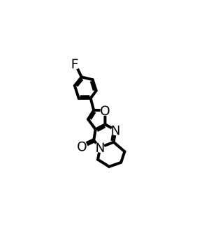 O=c1c2cc(-c3ccc(F)cc3)oc2nc2n1CCCC2